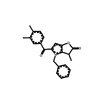 Cc1ccc(C(=O)c2cc3c(n2Cc2ccccc2)C(C)C(=O)O3)cc1C